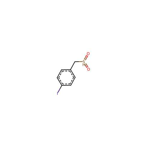 O=[SH](=O)Cc1ccc(I)cc1